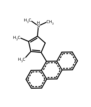 CC1=C(c2c3ccccc3cc3ccccc23)CC([SiH](C)C)=C1C